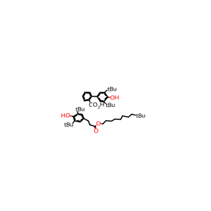 CC(C)(C)CCCCCCCCOC(=O)CCc1cc(C(C)(C)C)c(O)c(C(C)(C)C)c1.CC(C)(C)c1cc(-c2ccccc2C(=O)O)cc(C(C)(C)C)c1O